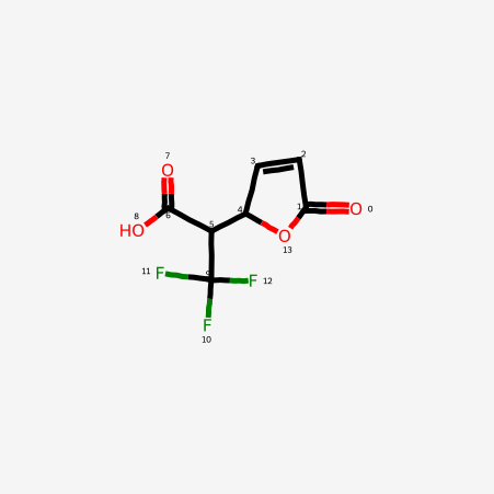 O=C1C=CC(C(C(=O)O)C(F)(F)F)O1